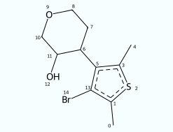 Cc1sc(C)c(C2CCOCC2O)c1Br